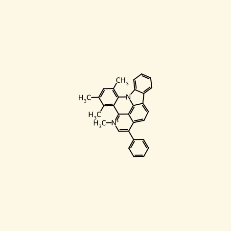 Cc1cc(C)c2c(c1C)c1c3c(ccc4c5ccccc5n2c43)c(-c2ccccc2)c[n+]1C